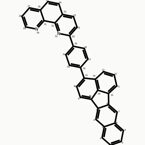 c1ccc2cc3c(cc2c1)-c1cccc2c(-c4ccc(-c5ccc6ccc7cccnc7c6n5)cc4)ccc-3c12